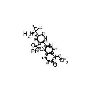 CCS(=O)(=O)c1cc(C2(N)CC2)cnc1-c1cc2ccc(=O)n(CC(F)(F)F)c2cn1